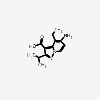 CCc1c(N)ccn2nc(C(C)C)c(C(=O)O)c12